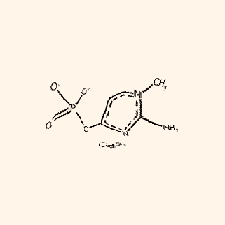 Cn1cc(OP(=O)([O-])[O-])nc1N.[Ca+2]